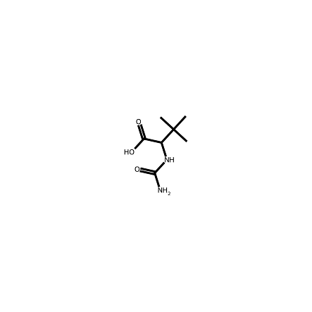 CC(C)(C)C(NC(N)=O)C(=O)O